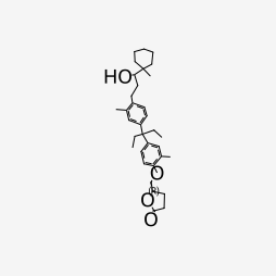 CCC(CC)(c1ccc(CCC(O)C2(C)CCCCC2)c(C)c1)c1ccc(OC[C@H]2CCC(=O)O2)c(C)c1